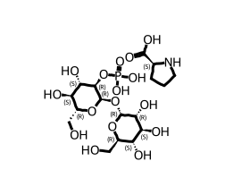 O=C(O)[C@@H]1CCCN1.O=P(O)(O)O[C@H]1[C@@H](O[C@H]2O[C@H](CO)[C@@H](O)[C@H](O)[C@H]2O)O[C@H](CO)[C@@H](O)[C@@H]1O